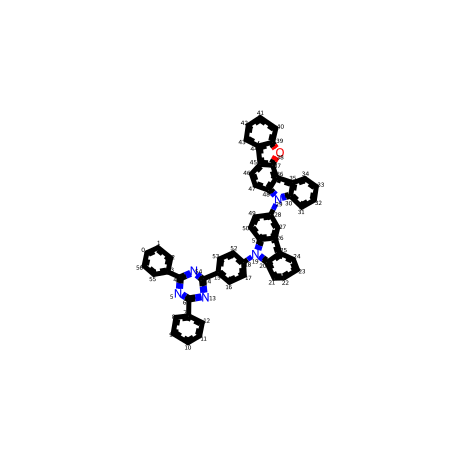 c1ccc(-c2nc(-c3ccccc3)nc(-c3ccc(-n4c5ccccc5c5cc(-n6c7ccccc7c7c8oc9ccccc9c8ccc76)ccc54)cc3)n2)cc1